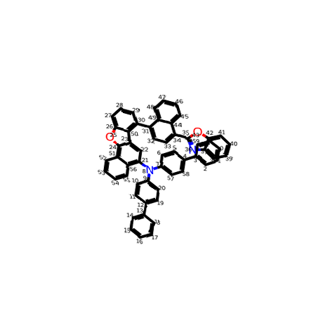 c1ccc(-c2ccc(N(c3ccc(-c4ccccc4)cc3)c3cc4c(oc5cccc(-c6ccc(-c7nc8ccccc8o7)c7ccccc67)c54)c4ccccc34)cc2)cc1